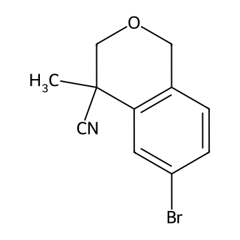 CC1(C#N)COCc2ccc(Br)cc21